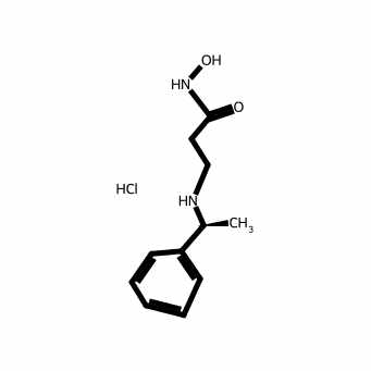 C[C@H](NCCC(=O)NO)c1ccccc1.Cl